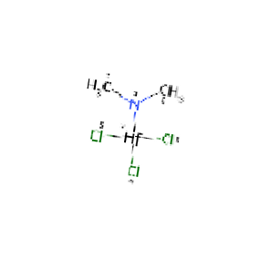 C[N](C)[Hf]([Cl])([Cl])[Cl]